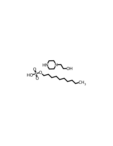 CCCCCCCCCCOS(=O)(=O)O.OCCN1CCNCC1